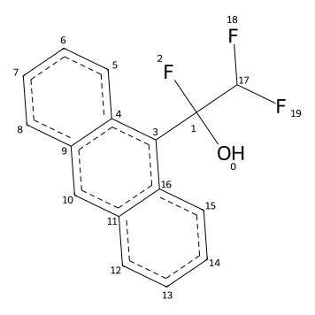 OC(F)(c1c2ccccc2cc2ccccc12)C(F)F